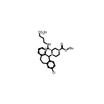 CCOC(=O)CCCNC(=O)[C@H]1CN(C(=O)OC(C)(C)C)CCN1C1c2ccc(Cl)cc2CCc2cccnc21